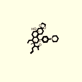 C=CCC(C(C)=O)[C@@]1(C)C[C@H](c2ccc(N3CCCCC3)cc2)C2=C3CCC4(C[C@]3(O)CCC2C1CC)OCCO4